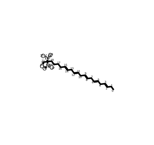 CC/C=C/C/C=C/C/C=C/C/C=C/C/C=C/CCCCC([C]=O)([N+](=O)[O-])[N+](=O)[O-]